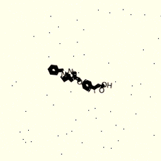 C[C@@H](CC(=O)O)c1ccc(OCc2cnc3c(ccn3Cc3ccccc3)c2)cc1